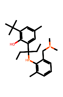 CCC(CC)(Pc1c(C)cccc1CP(C)C)c1cc(C)cc(C(C)(C)C)c1O